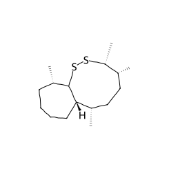 C[C@@H]1CC[C@H](C)[C@@H]2CCCC[C@H](C)C2SS[C@@H]1C